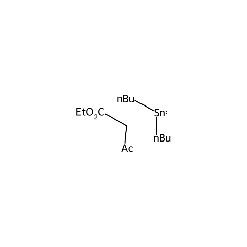 CCC[CH2][Sn][CH2]CCC.CCOC(=O)CC(C)=O